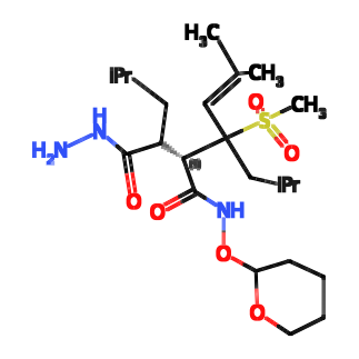 CC(C)=CC(CC(C)C)([C@H](C(=O)NOC1CCCCO1)C(CC(C)C)C(=O)NN)S(C)(=O)=O